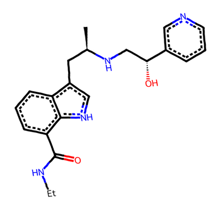 CCNC(=O)c1cccc2c(C[C@@H](C)NC[C@@H](O)c3cccnc3)c[nH]c12